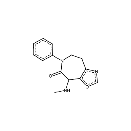 CNC1C(=O)N(c2ccccc2)CCc2ncoc21